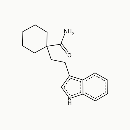 NC(=O)C1(CCc2c[nH]c3ccccc23)CCCCC1